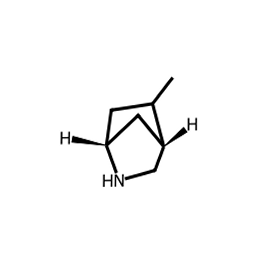 CC1C[C@@H]2C[C@H]1CN2